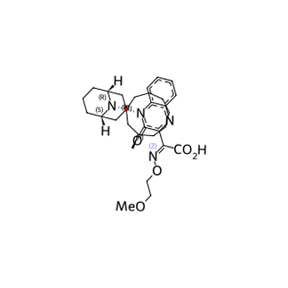 COCCO/N=C(\C(=O)O)c1nc2ccccc2n([C@H]2C[C@H]3CCC[C@@H](C2)N3[C@@H]2CCCCCC[C@@H](C)C2)c1=O